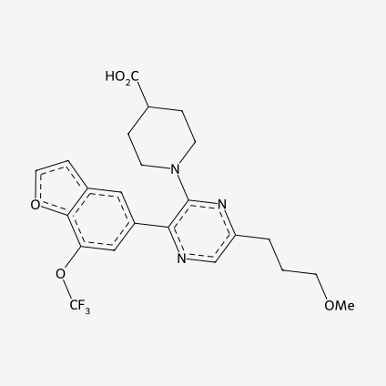 COCCCc1cnc(-c2cc(OC(F)(F)F)c3occc3c2)c(N2CCC(C(=O)O)CC2)n1